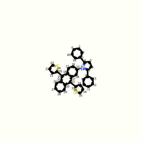 c1ccc(-c2ccc(-c3ccccc3)n2-c2ccc3c(-c4cccs4)c4ccccc4c(-c4cccs4)c3c2)cc1